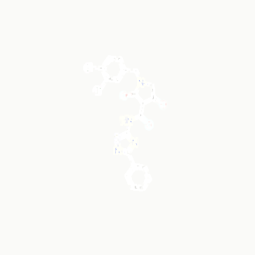 O=C1CN(Cc2ccc(Cl)c(Cl)c2)C(=O)C1C(=O)Nc1nc(-c2ccccc2)ns1